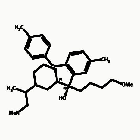 CNCC(C)N1CCC[C@@H]([C@@](O)(CCCCOC)c2cc(C)ccc2Oc2ccc(C)cc2)C1